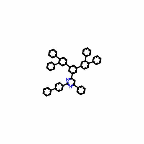 c1ccc(-c2ccc(-c3nc(-c4ccccc4)cc(-c4cc(-c5ccc(-c6ccccc6)c(-c6ccccc6)c5)cc(-c5ccc(-c6ccccc6)c(-c6ccccc6)c5)c4)n3)cc2)cc1